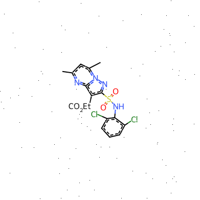 CCOC(=O)c1c(S(=O)(=O)Nc2c(Cl)cccc2Cl)nn2c(C)cc(C)nc12